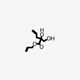 C=CCOC(=O)C(O)(CO)CC=C